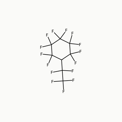 FC(F)(F)C(F)(F)[C]1C(F)(F)C(F)(F)C(F)(F)C(F)(F)C1(F)F